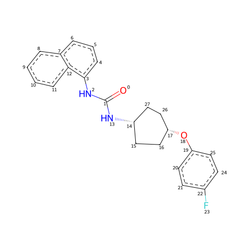 O=C(Nc1cccc2ccccc12)N[C@H]1CC[C@@H](Oc2ccc(F)cc2)CC1